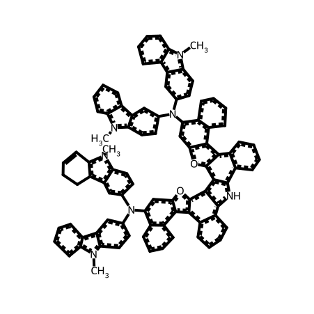 Cn1c2c(c3cc(N(c4ccc5c(c4)c4ccccc4n5C)c4cc5oc6c(c7ccccc7c7[nH]c8c9ccccc9c9c(oc%10cc(N(c%11ccc%12c(c%11)c%11ccccc%11n%12C)c%11ccc%12c(c%11)c%11ccccc%11n%12C)c%11ccccc%11c%109)c8c76)c5c5ccccc45)ccc31)CCC=C2